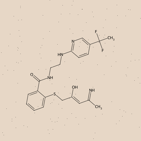 CC(=N)/C=C(\O)CSc1ccccc1C(=O)NCCNc1ccc(C(C)(F)F)cn1